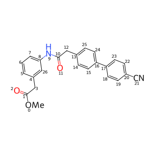 COC(=O)Cc1cccc(NC(=O)Cc2ccc(-c3ccc(C#N)cc3)cc2)c1